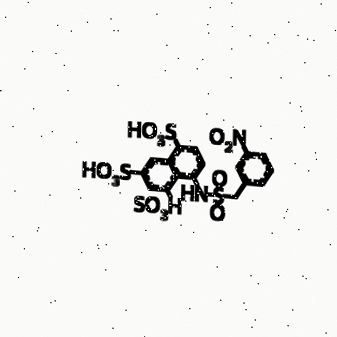 O=[N+]([O-])c1cccc(CS(=O)(=O)Nc2ccc(S(=O)(=O)O)c3cc(S(=O)(=O)O)cc(S(=O)(=O)O)c23)c1